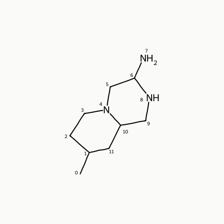 CC1CCN2CC(N)NCC2C1